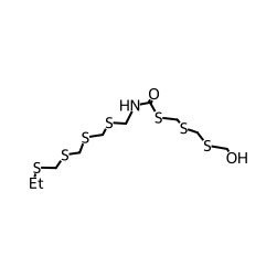 CCSCSCSCSCNC(=O)SCSCSCO